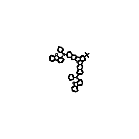 CC(C)(C)c1cc2c3cc4ccc(N(c5ccccc5)c5cccc6c5oc5ccccc56)cc4cc3n3c4cc5cc(N(c6ccccc6)c6cccc7c6oc6ccccc67)ccc5cc4c(c1)c23